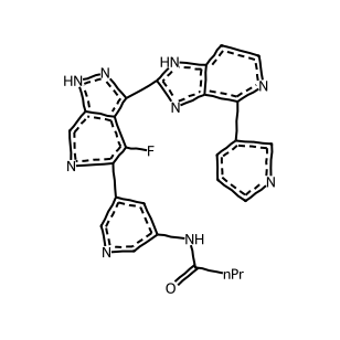 CCCC(=O)Nc1cncc(-c2ncc3[nH]nc(-c4nc5c(-c6cccnc6)nccc5[nH]4)c3c2F)c1